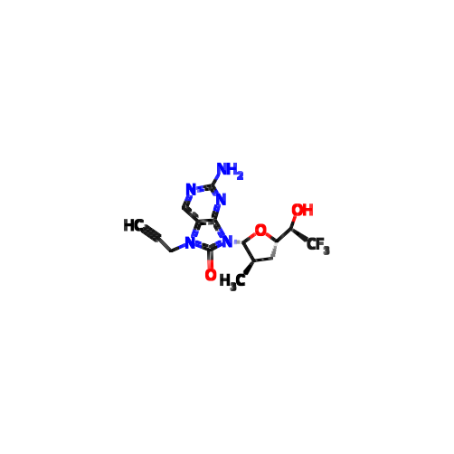 C#CCn1c(=O)n([C@@H]2O[C@H]([C@@H](O)C(F)(F)F)C[C@H]2C)c2nc(N)ncc21